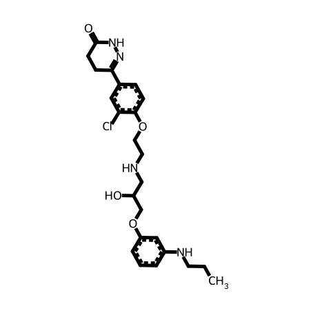 CCCNc1cccc(OCC(O)CNCCOc2ccc(C3=NNC(=O)CC3)cc2Cl)c1